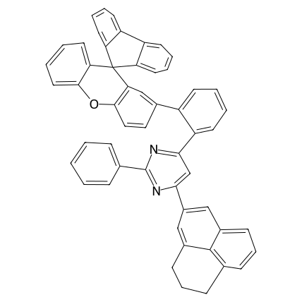 c1ccc(-c2nc(-c3cc4c5c(cccc5c3)CCC4)cc(-c3ccccc3-c3ccc4c(c3)C3(c5ccccc5O4)c4ccccc4-c4ccccc43)n2)cc1